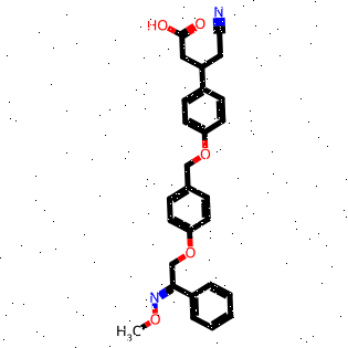 CO/N=C(/COc1ccc(COc2ccc(C(CC#N)CC(=O)O)cc2)cc1)c1ccccc1